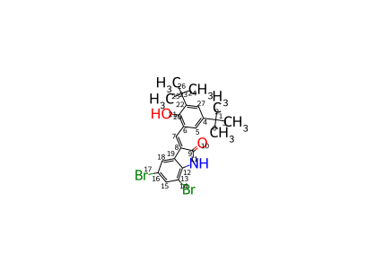 CC(C)(C)c1cc(C=C2C(=O)Nc3c(Br)cc(Br)cc32)c(O)c(C(C)(C)C)c1